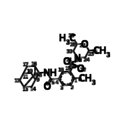 Cc1ccc(C(=O)NC2C3CC4CC(C3)CC2C4)cc1S(=O)(=O)N1CC(C)OC(C)C1